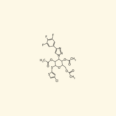 CC(=O)OCC1OC(Sc2cc(Cl)cs2)C(OC(C)=O)C(n2cc(-c3cc(F)c(F)c(F)c3)nn2)C1OC(C)=O